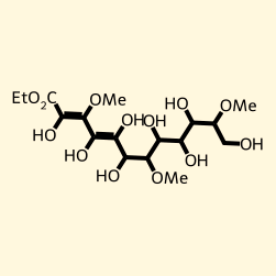 CCOC(=O)/C(O)=C(OC)/C(O)=C(\O)C(O)C(OC)C(O)C(O)C(O)C(CO)OC